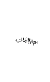 CCCCCc1ccc(C(CC)n2c(C)ccc2-c2ccc(O)cc2)cc1